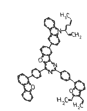 C=C/C(=C\C=C/C)n1c2ccccc2c2cc(-c3ccc4oc5c(-c6ccc(-c7cccc8c7oc7ccccc78)cc6)nc(-c6ccc(-c7cccc8c(C=C)c(C=C)oc78)cc6)nc5c4c3)ccc21